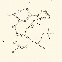 Cc1ccc(-c2nnc[nH]2)cc1Nc1nc(S)nc(N(C)CC(C)(C)C)c1C#N